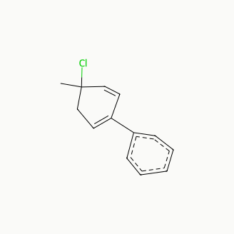 CC1(Cl)C=CC(c2ccccc2)=CC1